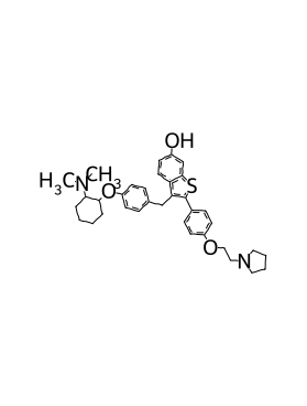 CN(C)C1CCCCC1Oc1ccc(Cc2c(-c3ccc(OCCN4CCCC4)cc3)sc3cc(O)ccc23)cc1